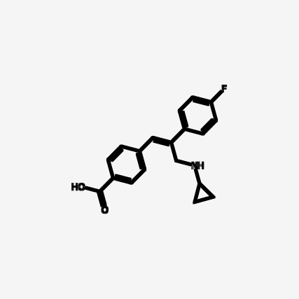 O=C(O)c1ccc(C=C(CNC2CC2)c2ccc(F)cc2)cc1